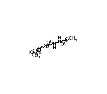 CCOC(=O)CC(=O)NCCNC(=O)CC(=O)OOCCc1ccc(C(=O)C(C)(C)O)cc1